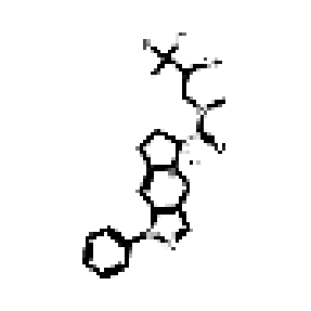 CN(CC(O)C(F)(F)F)C(=O)[C@H]1CCC2=Cc3c(cnn3-c3ccccc3)C[C@@]21C